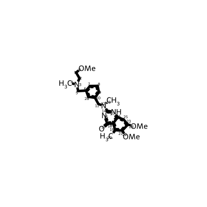 COCCN(C)Cc1cccc(CN(C)c2nc(=O)c3c(C)c(OC)c(OC)cc3[nH]2)c1